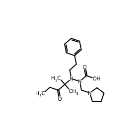 CCC(=O)C(C)(C)N(CCc1ccccc1)N(CN1CCCC1)C(=O)O